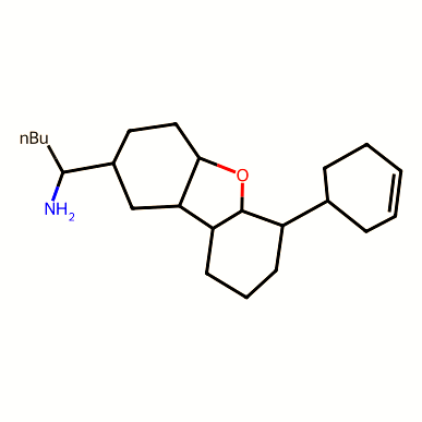 CCCCC(N)C1CCC2OC3C(C4CC=CCC4)CCCC3C2C1